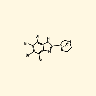 Brc1c(Br)c(Br)c2[nH]c(N3CCN4CCC3CC4)nc2c1Br